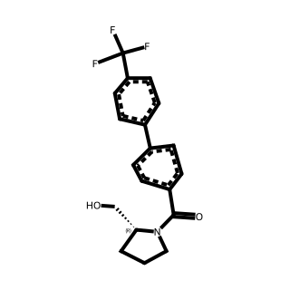 O=C(c1ccc(-c2ccc(C(F)(F)F)cc2)cc1)N1CCC[C@@H]1CO